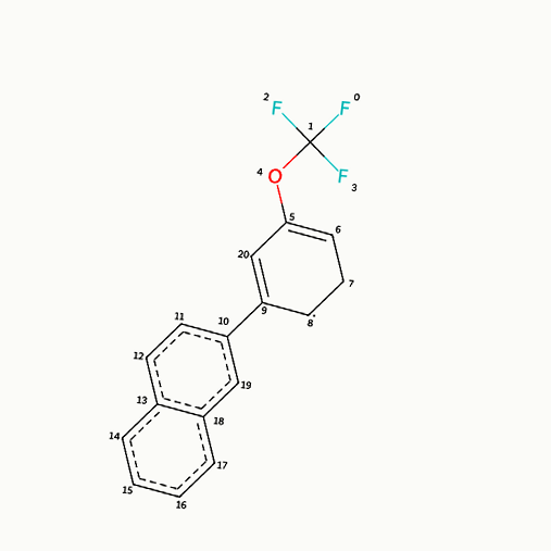 FC(F)(F)OC1=CC[CH]C(c2ccc3ccccc3c2)=C1